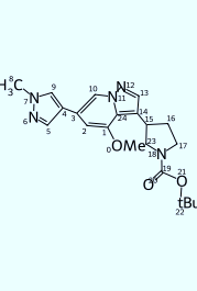 COc1cc(-c2cnn(C)c2)cn2ncc(C3CCN(C(=O)OC(C)(C)C)C3)c12